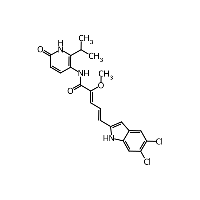 COC(=CC=Cc1cc2cc(Cl)c(Cl)cc2[nH]1)C(=O)Nc1ccc(=O)[nH]c1C(C)C